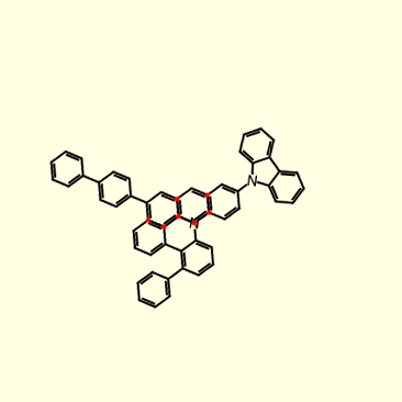 c1ccc(-c2ccc(-c3ccc(N(c4ccc(-n5c6ccccc6c6ccccc65)cc4)c4cccc(-c5ccccc5)c4-c4ccccc4-c4ccccc4)cc3)cc2)cc1